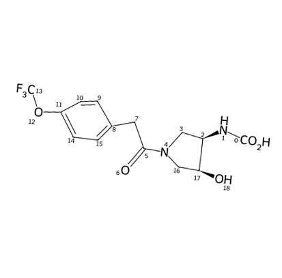 O=C(O)N[C@@H]1CN(C(=O)Cc2ccc(OC(F)(F)F)cc2)C[C@@H]1O